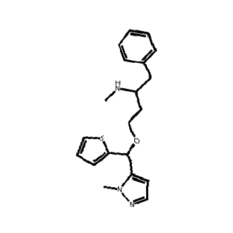 CNC(CCOC(c1cccs1)c1ccnn1C)Cc1ccccc1